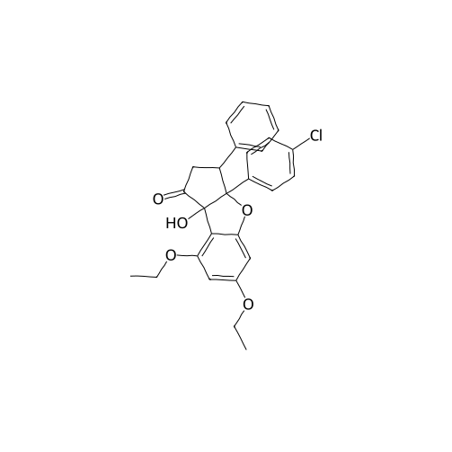 CCOc1cc(OCC)c2c(c1)OC1(c3ccc(Cl)cc3)C(c3ccccc3)CC(=O)C21O